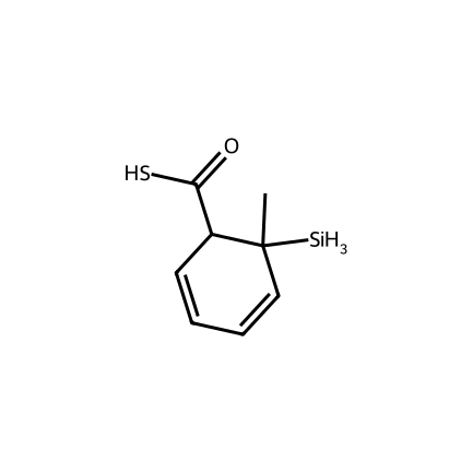 CC1([SiH3])C=CC=CC1C(=O)S